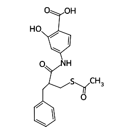 CC(=O)SCC(Cc1ccccc1)C(=O)Nc1ccc(C(=O)O)c(O)c1